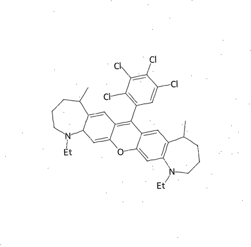 CCN1CCCC(C)c2cc3c(cc21)OC1=CC2C(=CC1=C3c1cc(Cl)c(Cl)c(Cl)c1Cl)C(C)CCCN2CC